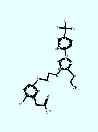 CCCc1nn(-c2ccc(C(F)(F)F)cn2)cc1CCCOc1ccc(F)c(CC(=O)O)c1